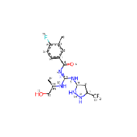 Cc1cc(C(=O)/N=C(\NC2CC(C(F)(F)F)NN2)N[C@H](C)CO)ccc1F